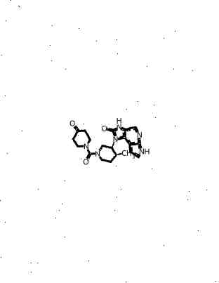 C[C@H]1CCN(C(=O)N2CCC(=O)CC2)C[C@H]1n1c(=O)[nH]c2cnc3[nH]ccc3c21